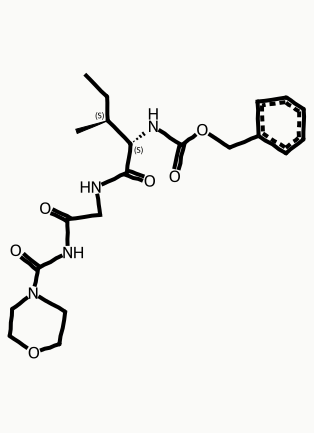 CC[C@H](C)[C@H](NC(=O)OCc1ccccc1)C(=O)NCC(=O)NC(=O)N1CCOCC1